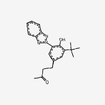 CC(=O)CCc1cc(-n2nc3ccccc3n2)c(O)c(C(C)(C)C)c1